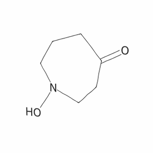 O=C1CCCN(O)CC1